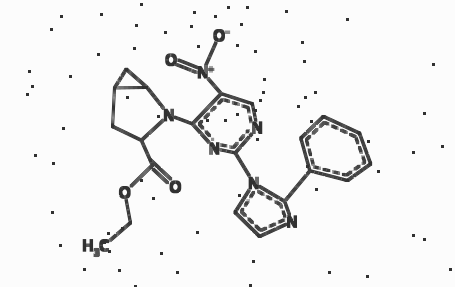 CCOC(=O)C1CC2CC2N1c1nc(-n2ccnc2-c2ccccc2)ncc1[N+](=O)[O-]